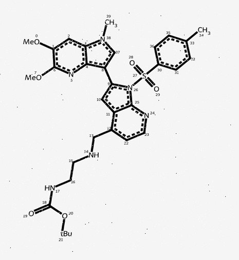 COc1cc2c(nc1OC)c(-c1cc3c(CNCCNC(=O)OC(C)(C)C)ccnc3n1S(=O)(=O)c1ccc(C)cc1)cn2C